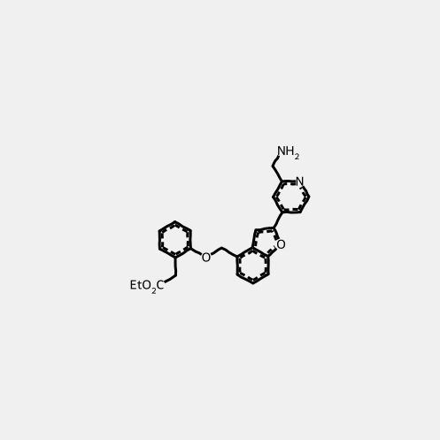 CCOC(=O)Cc1ccccc1OCc1cccc2oc(-c3ccnc(CN)c3)cc12